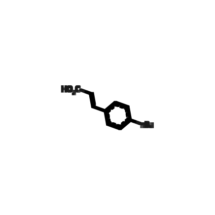 CCCCc1ccc(/C=C/C(=O)O)cc1